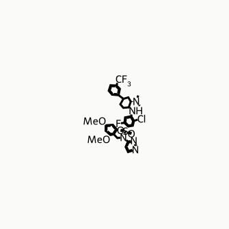 COc1ccc(CN(c2ccncn2)S(=O)(=O)c2cc(Cl)c(N[C@H]3CCC(c4cccc(C(F)(F)F)c4)C[C@@H]3N(C)C)cc2F)c(OC)c1